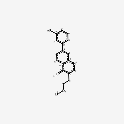 CCOCCc1cnc2cc(-c3cccc(F)c3)ccn2c1=O